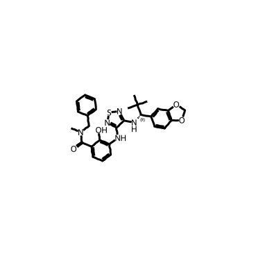 CN(Cc1ccccc1)C(=O)c1cccc(Nc2nsnc2N[C@@H](c2ccc3c(c2)OCO3)C(C)(C)C)c1O